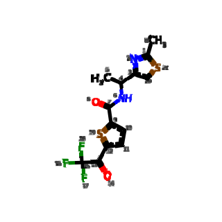 Cc1nc(C(C)NC(=O)c2ccc(C(=O)C(F)(F)F)s2)cs1